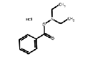 CCN(CC)OC(=O)c1ccccc1.Cl